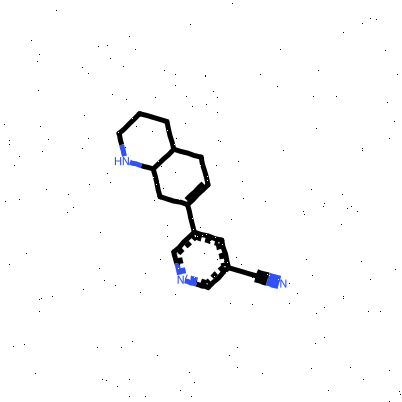 N#Cc1cncc(C2=CCC3CCCNC3C2)c1